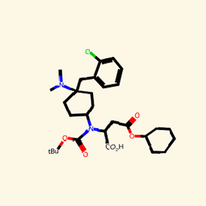 CN(C)C1(Cc2ccccc2Cl)CCC(N(C(=O)OC(C)(C)C)C(CC(=O)OC2CCCCC2)C(=O)O)CC1